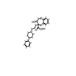 COC(=O)C1(CCCN2CCN(c3ccccc3)CC2)Oc2ccccc2OCC1O